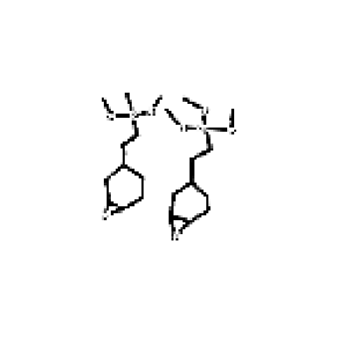 CO[Si](C)(CCC1CCC2OC2C1)OC.CO[Si](CCC1CCC2OC2C1)(OC)OC